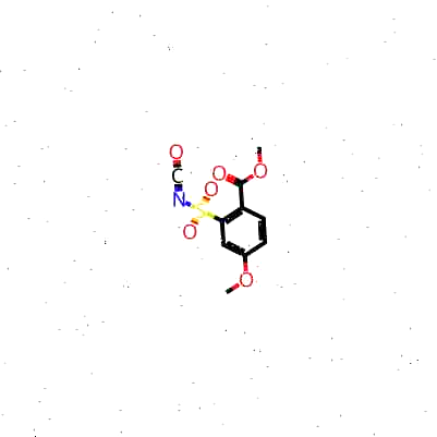 COC(=O)c1ccc(OC)cc1S(=O)(=O)N=C=O